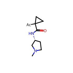 CC(=O)C1(C(=O)N[C@@H]2CCN(C)C2)CC1